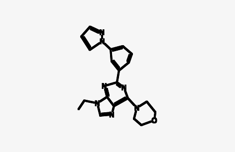 CCn1cnc2c(N3CCOCC3)nc(-c3cccc(-n4cccn4)c3)nc21